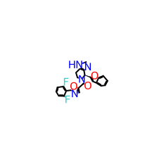 O=C(c1cnc(-c2c(F)cccc2F)o1)N1CCc2[nH]cnc2[C@H]1c1cc2ccccc2o1